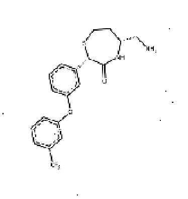 NC[C@H]1CCS[C@@H](c2cccc(Oc3cccc(C(F)(F)F)c3)c2)C(=O)N1